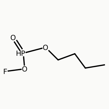 CCCCO[PH](=O)OF